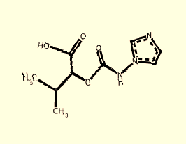 CC(C)C(OC(=O)Nn1ccnc1)C(=O)O